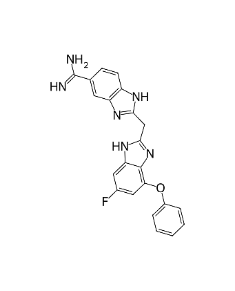 N=C(N)c1ccc2[nH]c(Cc3nc4c(Oc5ccccc5)cc(F)cc4[nH]3)nc2c1